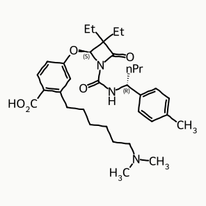 CCC[C@@H](NC(=O)N1C(=O)C(CC)(CC)[C@@H]1Oc1ccc(C(=O)O)c(CCCCCCN(C)C)c1)c1ccc(C)cc1